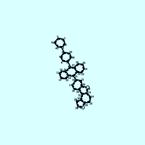 c1ccc(-c2ccc(-c3c4ccccc4c(-c4ccc5c(c4)oc4ccc6occc6c45)c4ccccc34)cc2)cc1